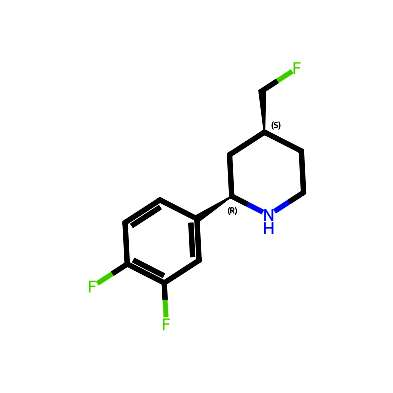 FC[C@H]1CCN[C@@H](c2ccc(F)c(F)c2)C1